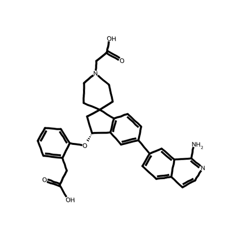 Nc1nccc2ccc(-c3ccc4c(c3)[C@H](Oc3ccccc3CC(=O)O)CC43CCN(CC(=O)O)CC3)cc12